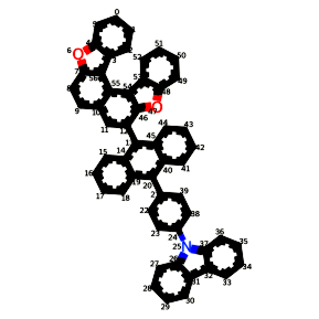 c1ccc2c(c1)oc1ccc3cc(-c4c5ccccc5c(-c5ccc(-n6c7ccccc7c7ccccc76)cc5)c5ccccc45)c4oc5ccccc5c4c3c12